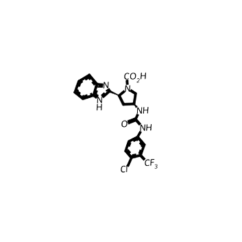 O=C(Nc1ccc(Cl)c(C(F)(F)F)c1)N[C@H]1C[C@@H](c2nc3ccccc3[nH]2)N(C(=O)O)C1